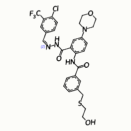 O=C(Nc1ccc(N2CCOCC2)cc1C(=O)N/N=C\c1ccc(Cl)c(C(F)(F)F)c1)c1cccc(CSCCO)c1